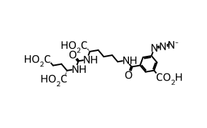 [N-]=[N+]=Nc1cc(C(=O)O)cc(C(=O)NCCCC[C@H](NC(=O)N[C@@H](CCC(=O)O)C(=O)O)C(=O)O)c1